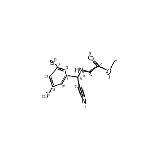 COC(=O)CNC(C#N)c1cc(F)cc(Br)c1